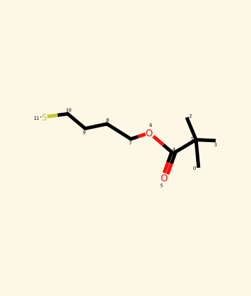 CC(C)(C)C(=O)OCCCC[S]